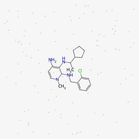 CC(NC1=C(N)C=CN(C)C1NCc1ccccc1Cl)C1CCCC1